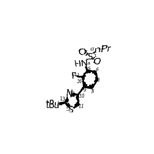 CCCS(=O)(=O)Nc1cccc(-c2csc(C(C)(C)C)n2)c1F